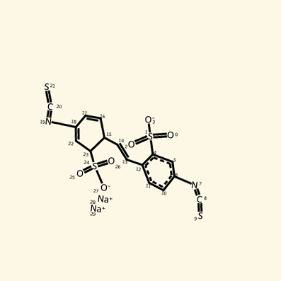 O=S(=O)([O-])c1cc(N=C=S)ccc1C=CC1C=CC(N=C=S)=CC1S(=O)(=O)[O-].[Na+].[Na+]